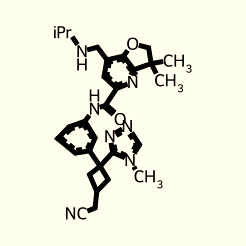 CC(C)NCc1cc(C(=O)Nc2cccc(C3(c4nncn4C)CC(CC#N)C3)c2)nc2c1OCC2(C)C